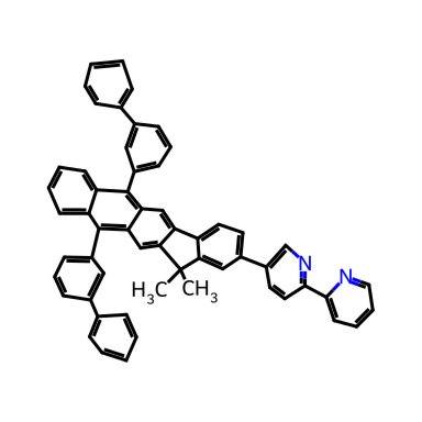 CC1(C)c2cc(-c3ccc(-c4ccccn4)nc3)ccc2-c2cc3c(-c4cccc(-c5ccccc5)c4)c4ccccc4c(-c4cccc(-c5ccccc5)c4)c3cc21